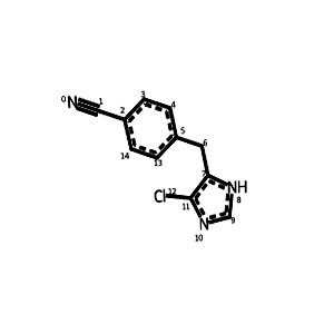 N#Cc1ccc(Cc2[nH]cnc2Cl)cc1